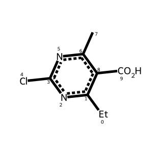 CCc1nc(Cl)nc(C)c1C(=O)O